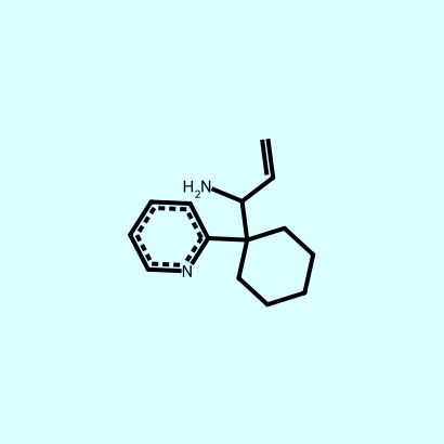 C=CC(N)C1(c2ccccn2)CCCCC1